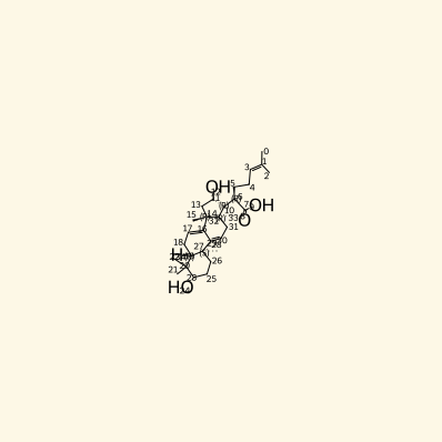 CC(C)=CCC[C@@H](C(=O)O)[C@H]1C(O)C[C@@]2(C)C3=CC[C@H]4C(C)(C)C(O)CC[C@]4(C)C3=CC[C@]12C